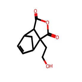 O=C1OC(=O)C2(CCO)C3C=CC(C3)C12